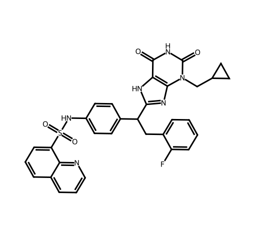 O=c1[nH]c(=O)n(CC2CC2)c2nc(C(Cc3ccccc3F)c3ccc(NS(=O)(=O)c4cccc5cccnc45)cc3)[nH]c12